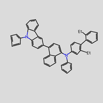 CCc1ccccc1-c1ccc(N(c2ccccc2)c2ccc(-c3ccc4c(c3)c3ccccc3n4-c3ccccc3)c3ccccc23)cc1CC